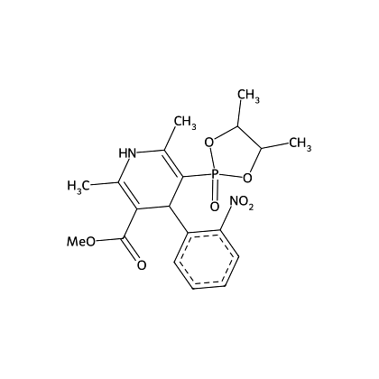 COC(=O)C1=C(C)NC(C)=C(P2(=O)OC(C)C(C)O2)C1c1ccccc1[N+](=O)[O-]